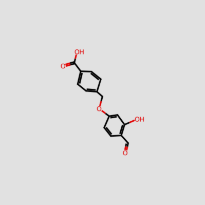 O=Cc1ccc(OCc2ccc(C(=O)O)cc2)cc1O